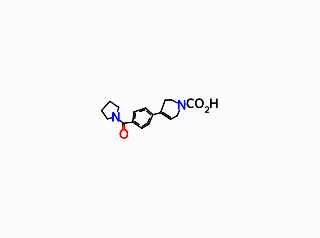 O=C(O)N1CC=C(c2ccc(C(=O)N3CCCC3)cc2)CC1